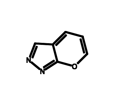 c1coc2nncc-2c1